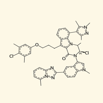 Cc1cc(OCCCc2c3n(c4c(-c5c(C)nn(C)c5C)cccc24)C(C)[C@@H](Cl)N(c2cn(C)c4ccc(-c5nc6cccc(C)n6n5)cc24)C3=O)cc(C)c1Cl